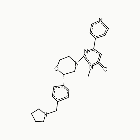 Cn1c(N2CCO[C@@H](c3ccc(CN4CCCC4)cc3)C2)nc(-c2ccncc2)cc1=O